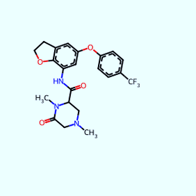 CN1CC(=O)N(C)C(C(=O)Nc2cc(Oc3ccc(C(F)(F)F)cc3)cc3c2OCC3)C1